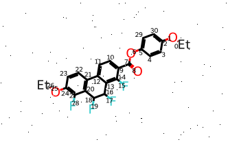 CCOc1ccc(OC(=O)c2ccc3c(c2F)C(F)C(F)c2c-3ccc(OCC)c2F)cc1